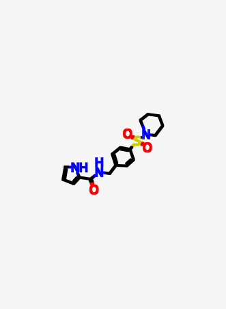 O=C(NCc1ccc(S(=O)(=O)N2CCCCC2)cc1)c1ccc[nH]1